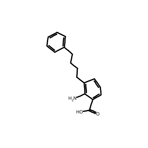 Nc1c(CCCCc2ccccc2)cccc1C(=O)O